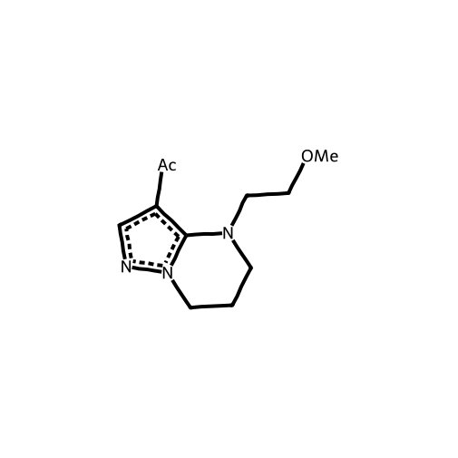 COCCN1CCCn2ncc(C(C)=O)c21